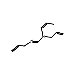 C=CC/N=C/N(/C=C\C)CC=C